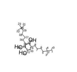 CCC(C)(C)CCCCc1cc(O)c(O)c(CCCCC(C)(C)C)c1O